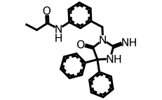 CCC(=O)Nc1cccc(CN2C(=N)NC(c3ccccc3)(c3ccccc3)C2=O)c1